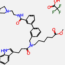 COC(=O)CCCCCN(Cc1cccc(-c2cccc(C(=O)NCCN3CCCC3)c2)c1)C(=O)CCc1c[nH]c2ccccc12.O=C(O)C(F)(F)F